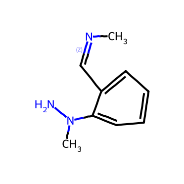 C/N=C\c1ccccc1N(C)N